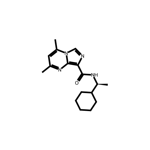 Cc1cc(C)n2cnc(C(=O)N[C@@H](C)C3CCCCC3)c2n1